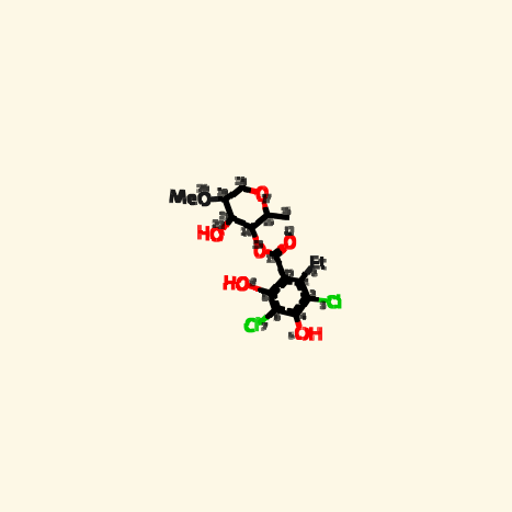 CCc1c(Cl)c(O)c(Cl)c(O)c1C(=O)OC1C(C)OCC(OC)C1O